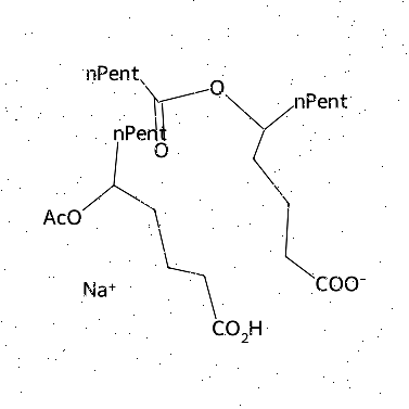 CCCCCC(=O)OC(CCCCC)CCCC(=O)[O-].CCCCCC(CCCC(=O)O)OC(C)=O.[Na+]